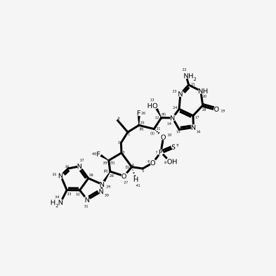 CC1CC2[C@@H](COP(O)(=S)O[C@@H]([C@@H](O)n3cnc4c(=O)[nH]c(N)nc43)[C@@H]1F)O[C@@H](n1nnc3c(N)ncnc31)[C@H]2F